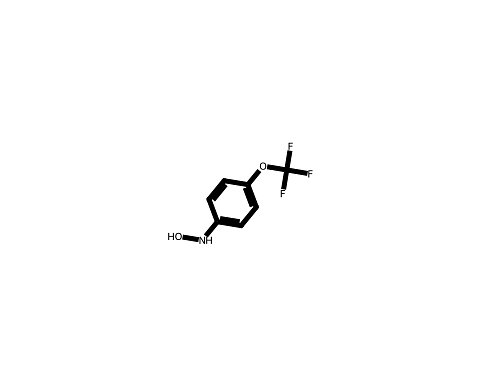 ONc1ccc(OC(F)(F)F)cc1